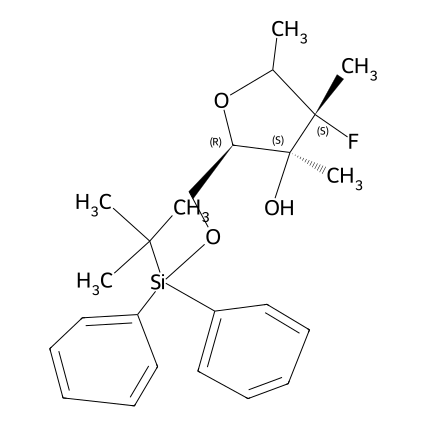 CC1O[C@H](CO[Si](c2ccccc2)(c2ccccc2)C(C)(C)C)[C@](C)(O)[C@@]1(C)F